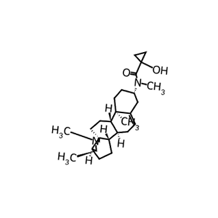 C[C@H]1[C@H]2CC[C@H]3[C@@H]4CC=C5C[C@@H](N(C)C(=O)C6(O)CC6)CC[C@]5(C)[C@H]4CC[C@]23CN1C